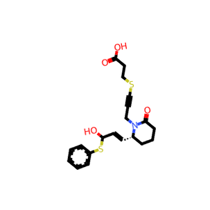 O=C(O)CCSC#CCN1C(=O)CCC[C@@H]1/C=C/C(O)Sc1ccccc1